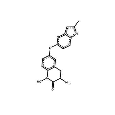 Cc1cc2nc(Oc3ccc4c(c3)CC(N)C(=O)N4O)ccn2n1